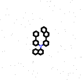 c1ccc(-c2cccc(N(c3cccc(-c4ccc5ccccc5c4)c3)c3cccc4ccccc34)c2)cc1